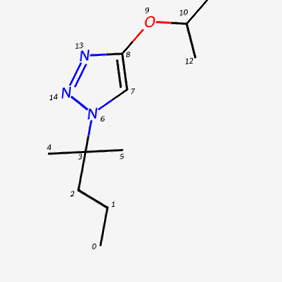 CCCC(C)(C)n1cc(OC(C)C)nn1